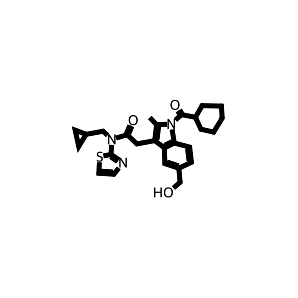 Cc1c(CC(=O)N(CC2CC2)c2nccs2)c2cc(CO)ccc2n1C(=O)C1CCCCC1